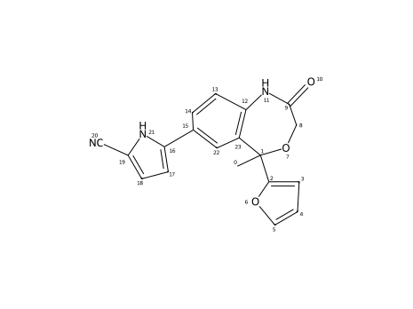 CC1(c2ccco2)OCC(=O)Nc2ccc(-c3ccc(C#N)[nH]3)cc21